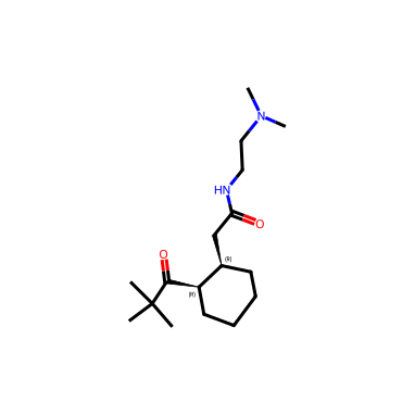 CN(C)CCNC(=O)C[C@H]1CCCC[C@H]1C(=O)C(C)(C)C